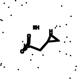 O=[SH](=O)CC1CN1.[KH]